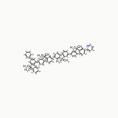 CC1(C)c2cc(-c3ccc4c(c3)C(C)(C)c3cc(-c5ccccn5)ccc3-4)ccc2-c2ccc(-c3ccc4c(c3)C(C)(C)c3cc(-c5cc(-c6ccccc6)cc6c5-c5ccccc5C6(C)C)ccc3-4)cc21